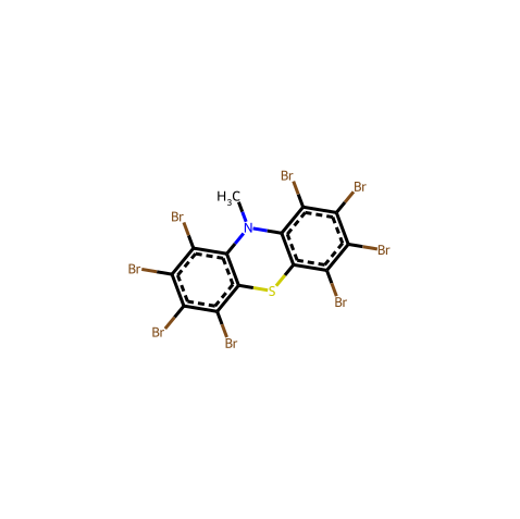 CN1c2c(Br)c(Br)c(Br)c(Br)c2Sc2c(Br)c(Br)c(Br)c(Br)c21